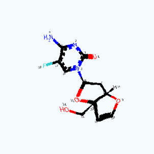 Nc1nc(=O)n([C@H]2C[C@@H]3OC=C[C@]3(CO)O2)cc1F